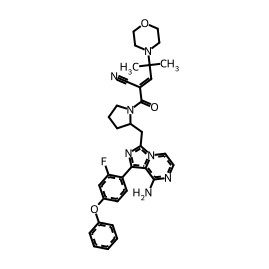 CC(C)(C=C(C#N)C(=O)N1CCCC1Cc1nc(-c2ccc(Oc3ccccc3)cc2F)c2c(N)nccn12)N1CCOCC1